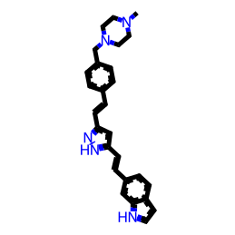 CN1CCN(Cc2ccc(C=Cc3cc(C=Cc4ccc5cc[nH]c5c4)[nH]n3)cc2)CC1